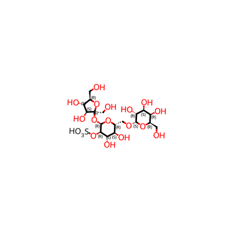 O=S(=O)(O)O[C@H]1[C@@H](O[C@]2(CO)O[C@H](CO)[C@@H](O)[C@@H]2O)O[C@H](CO[C@H]2O[C@H](CO)[C@H](O)[C@H](O)[C@H]2O)[C@@H](O)[C@@H]1O